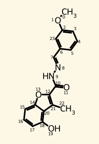 COc1cccc(C=NNC(=O)c2oc3cccc(O)c3c2C)c1